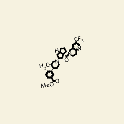 COC(=O)c1cccc([C@H]2CCN([C@@H]3C[C@H]4CCC[C@@]4(C(=O)N4CCc5ncc(C(F)(F)F)cc5C4)C3)C[C@@H]2C)c1